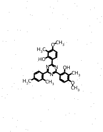 COc1ccc(-c2nc(-c3ccc(C)cc3C)nc(-c3ccc(OC)c(C)c3O)n2)c(O)c1C